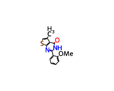 COc1ccccc1-c1nc2scc(C)c2c(=O)[nH]1